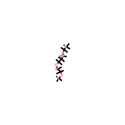 C[SiH](OC(C)(C)[Si](C)(C)C)C(C)(C)C(C)(C)O[Si](C)(C)C(C)(C)O[Si](C)(C)C